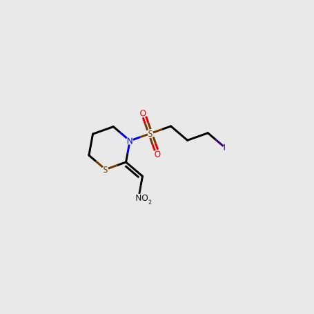 O=[N+]([O-])C=C1SCCCN1S(=O)(=O)CCCI